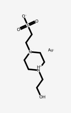 O=S(=O)([O-])CCN1CC[NH+](CCO)CC1.[Au]